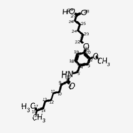 COc1cc(CNC(=O)CCCCCCC(C)C)ccc1OCCCCCC(=O)O